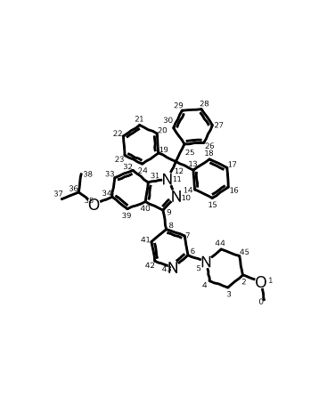 COC1CCN(c2cc(-c3nn(C(c4ccccc4)(c4ccccc4)c4ccccc4)c4ccc(OC(C)C)cc34)ccn2)CC1